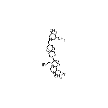 CC(C)C[C@H]1C(=O)N([C@@H](CC(C)C)C(=O)N2CCC3(CC2)OCC(CN2C[C@H](C)C[C@H](C)C2)CO3)CCN1C